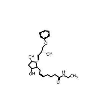 CCNC(=O)CCC/C=C\C[C@@H]1[C@@H](/C=C/[C@@H](O)COc2ccccc2)[C@H](O)C[C@@H]1O